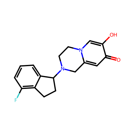 O=c1cc2n(cc1O)CCN(C1CCc3c(F)cccc31)C2